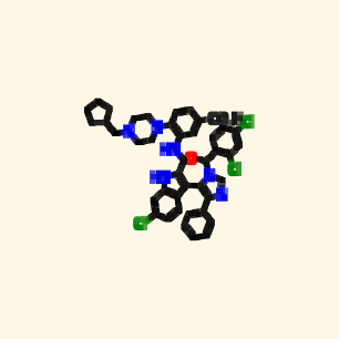 CC(c1ccc(Cl)cc1Cl)n1cnc(-c2ccccc2)c1-c1c(C(=O)Nc2cc(C(=O)O)ccc2N2CCN(CC3CCCC3)CC2)[nH]c2cc(Cl)ccc12